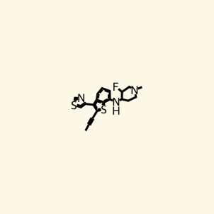 CC#Cc1sc2c(NC3CCN(C)CC3F)cccc2c1-c1cscn1